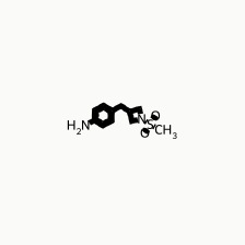 CS(=O)(=O)N1CC(Cc2ccc(N)cc2)C1